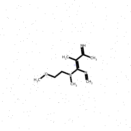 C=N/C(=C(/C)C(C)=N)N(C)CCOC